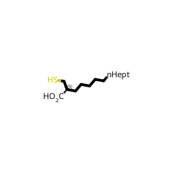 CCCCCCCCCCCC[C@H](CS)C(=O)O